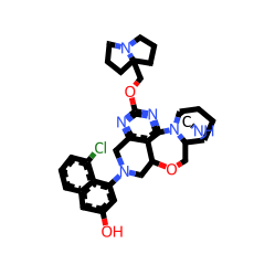 Oc1cc(N2Cc3nc(OCC45CCCN4CCC5)nc4c3C(C2)OCC2C3CCC(CN3)N42)c2c(Cl)cccc2c1